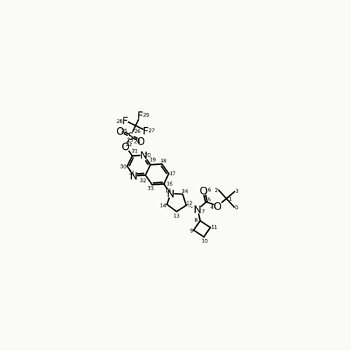 CC(C)(C)OC(=O)N(C1CCC1)[C@@H]1CCN(c2ccc3nc(OS(=O)(=O)C(F)(F)F)cnc3c2)C1